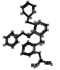 CN(C)Cc1ccccc1Pc1cccc(CC2C=CC=CC2)c1OCc1ccccc1